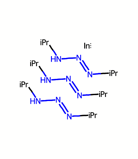 CC(C)N=NNC(C)C.CC(C)N=NNC(C)C.CC(C)N=NNC(C)C.[In]